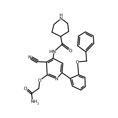 N#Cc1c(NC(=O)C2CCNCC2)cc(-c2ccccc2OCc2ccccc2)nc1OCC(N)=O